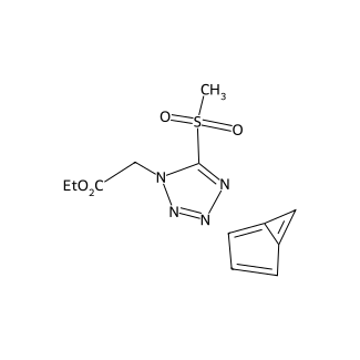 CCOC(=O)Cn1nnnc1S(C)(=O)=O.c1cc2cc-2c1